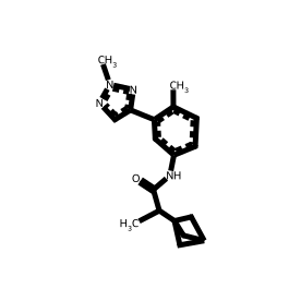 Cc1ccc(NC(=O)C(C)C23CC(C2)C3)cc1-c1cnn(C)n1